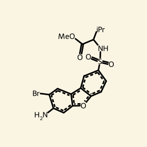 COC(=O)C(NS(=O)(=O)c1ccc2oc3cc(N)c(Br)cc3c2c1)C(C)C